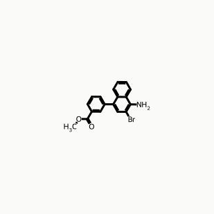 COC(=O)c1cccc(-c2cc(Br)c(N)c3ccccc23)c1